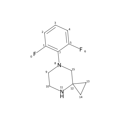 Fc1cccc(F)c1N1CCNC2(CC2)C1